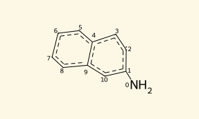 Nc1[c]cc2ccccc2c1